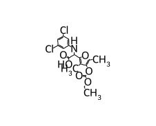 CCOC(=O)Oc1c(C)oc(C(Nc2cc(Cl)cc(Cl)c2)C(=O)O)c1C